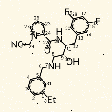 CCc1cccc(CNC[C@@H](O)[C@H](Cc2cc(F)cc(F)c2)NC(=O)c2cccn2CC#N)c1